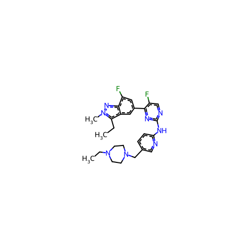 CCc1c2cc(-c3nc(Nc4ccc(CN5CCN(CC)CC5)cn4)ncc3F)cc(F)c2nn1C